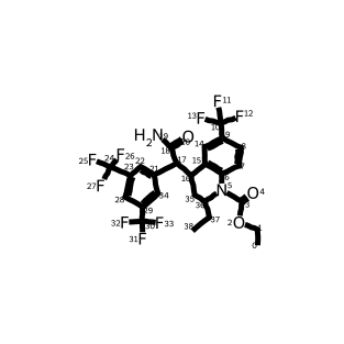 CCOC(=O)N1c2ccc(C(F)(F)F)cc2C(C(C(N)=O)c2cc(C(F)(F)F)cc(C(F)(F)F)c2)CC1CC